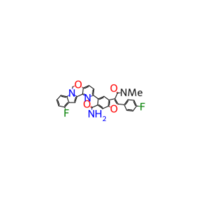 CNC(=O)c1c(-c2ccc(F)cc2)oc2cc(C(N)=O)c(-c3ccc4c(n3)-c3cc5c(F)cccc5n3CO4)cc12